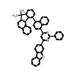 CC1(C)c2cccc(-c3ccc(-c4cc(-c5ccc6c(c5)oc5ccccc56)nc(-c5ccccc5)n4)c4ccccc34)c2-c2c1ccc1ccccc21